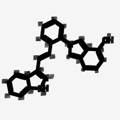 Oc1cccc2cn(-c3ccccc3C=Cc3n[nH]c4ccccc34)cc12